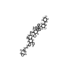 COc1cc2c(Oc3ccc(NS(=O)(=O)c4cccc(-c5ccccc5)c4)cc3F)ccnc2cc1OCCCN1CCOCC1